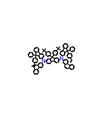 C=Cc1ccc(C2(c3ccccc3)c3ccccc3-c3ccc(N(c4ccc5c(c4)C(c4ccc(C(C)(C)C)cc4)(c4ccc(C(C)(C)C)cc4)c4cc(N(c6ccc7c(c6)C(c6ccccc6)(c6ccc(C=C)cc6)c6ccccc6-7)c6ccc7c(ccc8ccccc87)c6)ccc4-5)c4ccc5c(ccc6ccccc65)c4)cc32)cc1